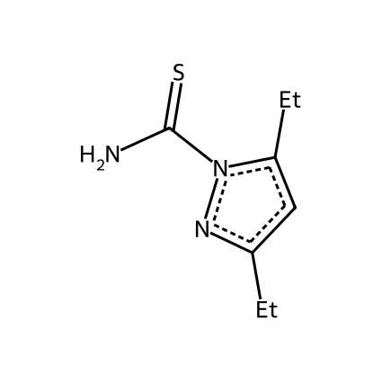 CCc1cc(CC)n(C(N)=S)n1